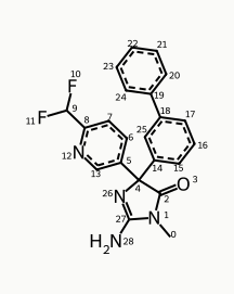 CN1C(=O)C(c2ccc(C(F)F)nc2)(c2cccc(-c3ccccc3)c2)N=C1N